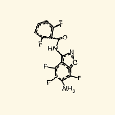 Nc1c(F)c(F)c2c(NC(=O)c3c(F)cccc3F)noc2c1F